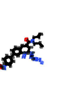 CCCN(CCC)C(=O)C1=Cc2ccc(-c3ccc(N=O)cc3)cc2NC(N=NN)C1